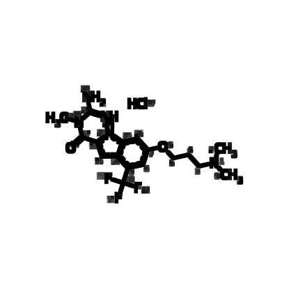 CN(C)CCCOc1cc(C(F)(F)F)c2cc(C(=O)N(C)C(=N)N)[nH]c2c1.Cl